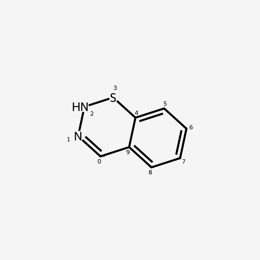 [C]1=NNSc2ccccc21